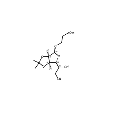 CCCCCCCCCCCCO[C@H]1O[C@H]([C@H](O)CC#N)[C@@H]2OC(C)(C)O[C@H]12